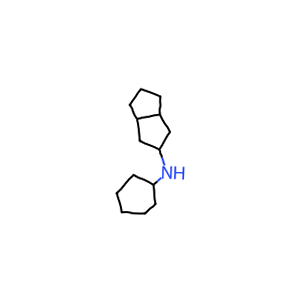 C1CCC(NC2CC3CCCC3C2)CC1